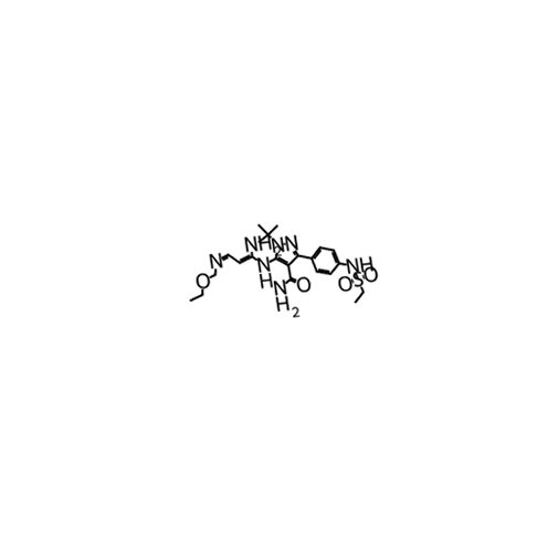 CCOC/N=C\C=C(/N)Nc1c(C(N)=O)c(-c2ccc(NS(=O)(=O)CC)cc2)nn1C(C)(C)C